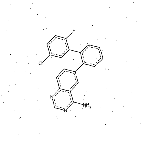 Nc1ncnc2ccc(-c3cccnc3-c3cc(Cl)ccc3F)cc12